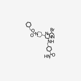 CNC(=O)c1ccc(CNc2cc(C3CCN(C(=O)OCc4ccccc4)CC3)nc3c(Br)cnn23)cc1